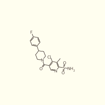 Cc1c(S(N)(=O)=O)ncc(C(=O)N2CCC(c3ccc(F)cc3)CC2)c1Cl